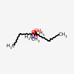 CCCCCCCC/C=C\CCCCCCCC(=O)C(CN(C)C)C(C)(C(=O)O)C(=O)CCCCCCC/C=C\CCCCCCCC